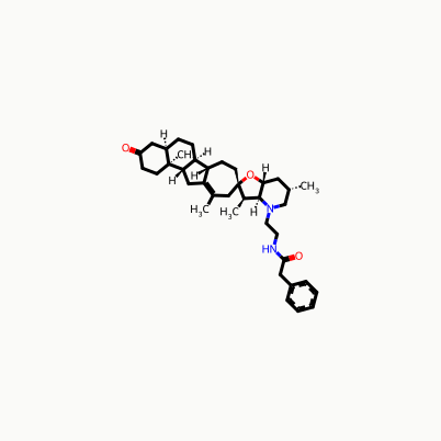 CC1=C2C[C@H]3[C@@H](CC[C@@H]4CC(=O)CC[C@@]43C)[C@@H]2CC[C@@]2(C1)O[C@@H]1C[C@H](C)CN(CCNC(=O)Cc3ccccc3)[C@H]1[C@H]2C